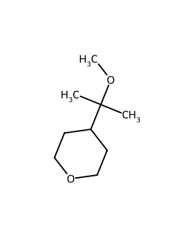 COC(C)(C)C1CCOCC1